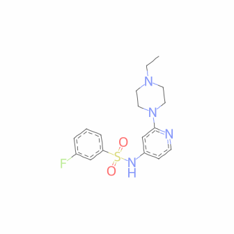 CCN1CCN(c2cc(NS(=O)(=O)c3cccc(F)c3)ccn2)CC1